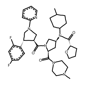 CC1CCC(N(C(=O)[C@@H]2CCCO2)[C@H]2C[C@@H](C(=O)N3CCN(C)CC3)N(C(=O)[C@@H]3CN(c4ccccn4)C[C@H]3c3ccc(F)cc3F)C2)CC1